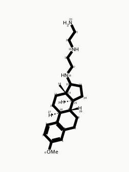 COc1ccc2c(c1)CC[C@@H]1[C@@H]2CC[C@]2(C)C(NCCNCCN)CC[C@@H]12